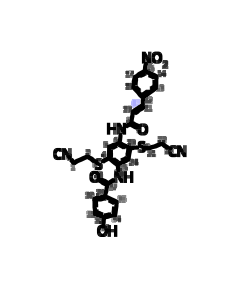 [C-]#[N+]CCSc1cc(NC(=O)/C=C/c2ccc([N+](=O)[O-])cc2)c(SCCC#N)cc1NC(=O)c1ccc(O)cc1